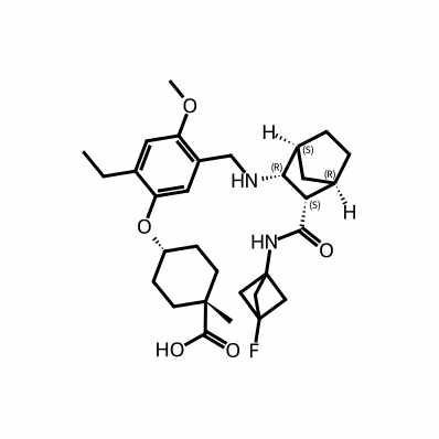 CCc1cc(OC)c(CN[C@@H]2[C@H]3CC[C@H](C3)[C@@H]2C(=O)NC23CC(F)(C2)C3)cc1O[C@H]1CC[C@@](C)(C(=O)O)CC1